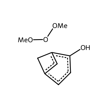 COOOC.Oc1ccc2cc1C2